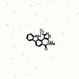 COC(=O)c1ccc2c([nH]c3ccccc32)c1-c1c(C)noc1C